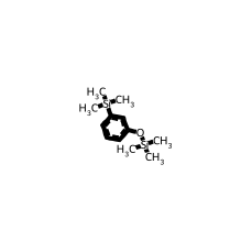 C[Si](C)(C)Oc1cccc([Si](C)(C)C)c1